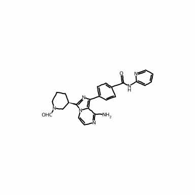 Nc1nccn2c([C@@H]3CCCN(C=O)C3)nc(-c3ccc(C(=O)Nc4ccccn4)cc3)c12